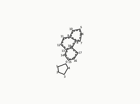 C1CCCC1.c1ccc2c(c1)ccc1ccccc12